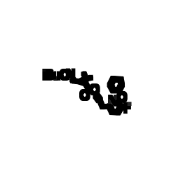 CC(C)CON=CC1C(C(=O)OC#CCc2ccc(F)c(Oc3ccccc3)n2)C1(C)C